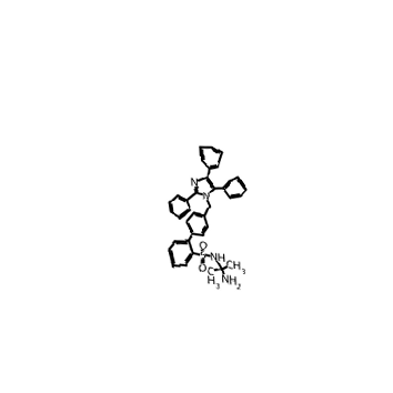 CC(C)(N)NS(=O)(=O)c1ccccc1-c1ccc(Cn2c(-c3ccccc3)nc(-c3ccccc3)c2-c2ccccc2)cc1